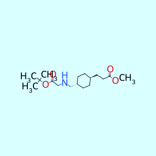 COC(=O)CC[C@H]1CC[C@H](CNCC(=O)OC(C)(C)C)CC1